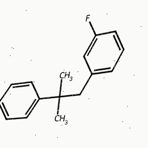 CC(C)(Cc1cccc(F)c1)c1[c]cccc1